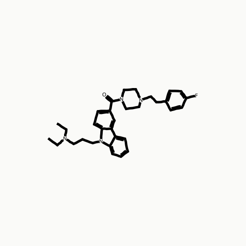 CCN(CC)CCCn1c2ccccc2c2cc(C(=O)N3CCN(CCc4ccc(F)cc4)CC3)ccc21